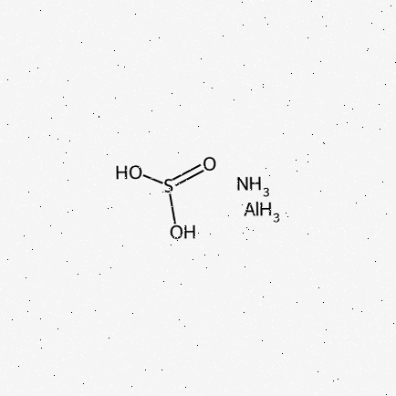 N.O=S(O)O.[AlH3]